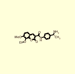 CCOc1c(OC)ccc2cc(C(=O)Nc3ccc([C@@H](C)N)cc3)c(=O)oc12